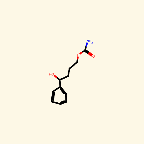 NC(=O)OCCCC(O)c1ccccc1